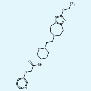 O=C(COc1cccnc1)N[C@H]1CC[C@H](CCN2CCc3nc(OCC(F)(F)F)sc3CC2)OC1